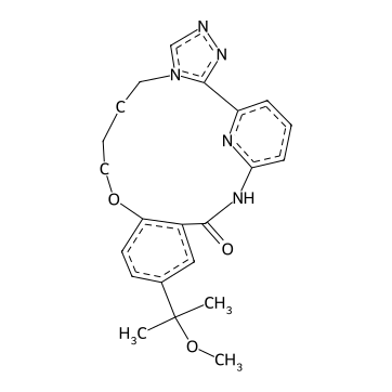 COC(C)(C)c1ccc2c(c1)C(=O)Nc1cccc(n1)-c1nncn1CCCCO2